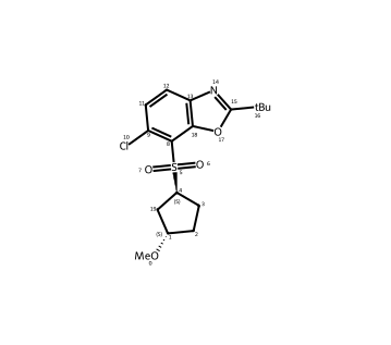 CO[C@H]1CC[C@H](S(=O)(=O)c2c(Cl)ccc3nc(C(C)(C)C)oc23)C1